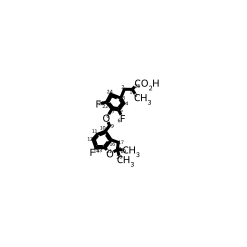 CC(Cc1cc(F)c(OCc2ccc(F)c3c2CC(C)(C)O3)c(F)c1)C(=O)O